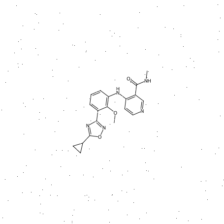 CNC(=O)c1cnccc1Nc1cccc(-c2noc(C3CC3)n2)c1OC